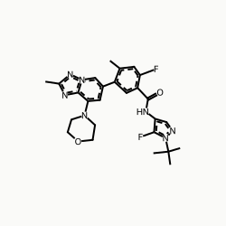 Cc1nc2c(N3CCOCC3)cc(-c3cc(C(=O)Nc4cnn(C(C)(C)C)c4F)c(F)cc3C)cn2n1